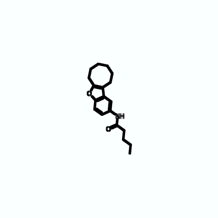 CCCCC(=O)Nc1ccc2oc3c(c2c1)CCCCCC3